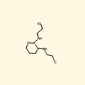 ClCCNN1CCCOP1NCCCl